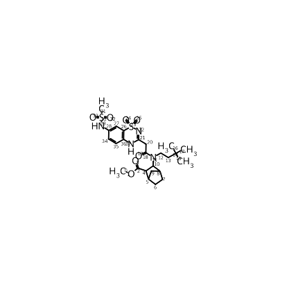 COC(=O)C1C2CCC(C2)C1N(CCC(C)(C)C)C(=O)CC1=NS(=O)(=O)c2cc(NS(C)(=O)=O)ccc2N1